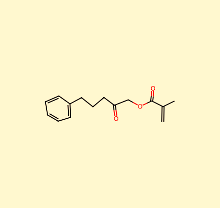 C=C(C)C(=O)OCC(=O)CCCc1ccccc1